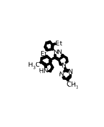 CCc1cccc(CC)c1-n1nc2c(c1-c1ccc(C)c3[nH]ccc13)CN(c1ncc(C)cn1)CC2